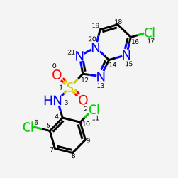 O=S(=O)(Nc1c(Cl)cccc1Cl)c1nc2nc(Cl)ccn2n1